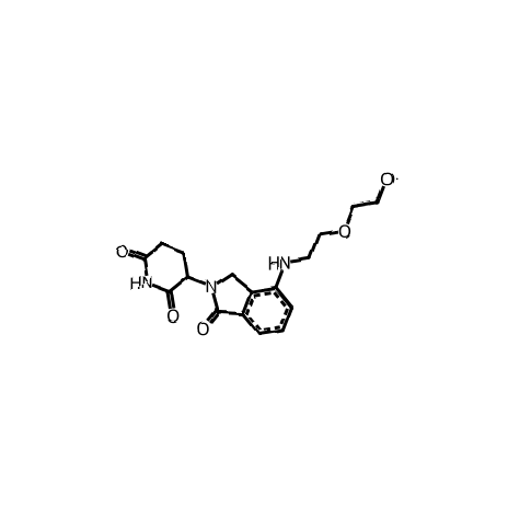 [O]CCOCCNc1cccc2c1CN(C1CCC(=O)NC1=O)C2=O